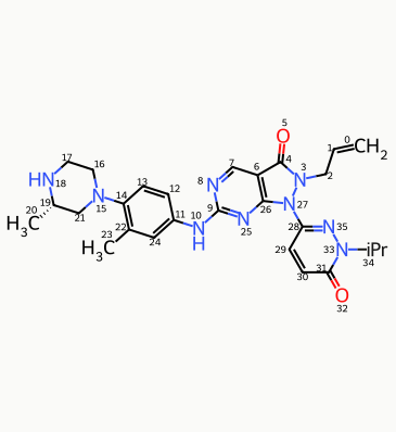 C=CCn1c(=O)c2cnc(Nc3ccc(N4CCN[C@@H](C)C4)c(C)c3)nc2n1-c1ccc(=O)n(C(C)C)n1